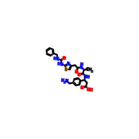 C[C@H](NC(=O)Cc1csc(NC(=O)NCc2ccccc2)n1)C(=O)NC(CC(=O)O)c1ccc(CN)cc1